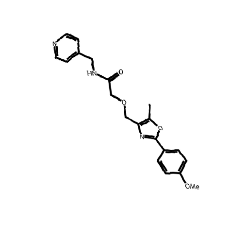 COc1ccc(-c2nc(COCC(=O)NCc3ccncc3)c(C)o2)cc1